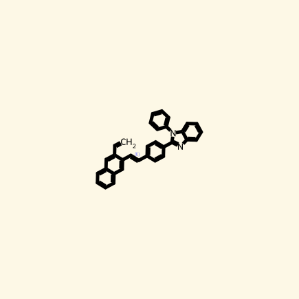 C=Cc1cc2ccccc2cc1/C=C/c1ccc(-c2nc3ccccc3n2-c2ccccc2)cc1